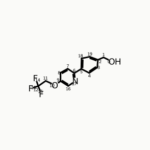 OCc1ccc(-c2ccc(OCC(F)(F)F)cn2)cc1